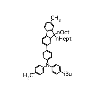 CCCCCCCCC1(CCCCCCC)c2cc(C)ccc2-c2ccc(-c3ccc(N(c4ccc(C)cc4)c4ccc(C(C)CC)cc4)cc3)cc21